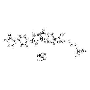 CCN(CC)CCCNC(=O)c1ccc2c(c1)sc1nc(-c3ccc([C@@H]4CCCN4)cc3)cn12.Cl.Cl